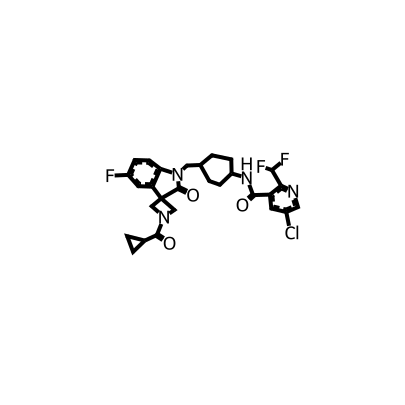 O=C(NC1CCC(CN2C(=O)C3(CN(C(=O)C4CC4)C3)c3cc(F)ccc32)CC1)c1cc(Cl)cnc1C(F)F